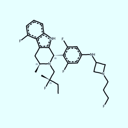 CC[C@](C)(F)CN1[C@@H](c2c(F)cc(NC3CN(CCCF)C3)cc2F)c2[nH]c3cccc(F)c3c2C[C@@H]1C